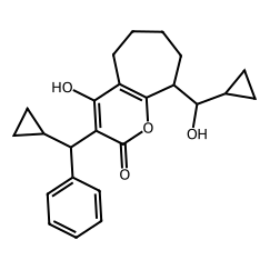 O=c1oc2c(c(O)c1C(c1ccccc1)C1CC1)CCCCC2C(O)C1CC1